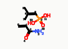 C=CC(N)=O.CC(C)=CP(=O)(O)O